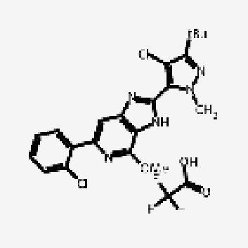 COc1nc(-c2ccccc2Cl)cc2nc(-c3c(Cl)c(C(C)(C)C)nn3C)[nH]c12.O=C(O)C(F)(F)F